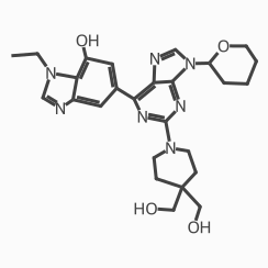 CCn1cnc2cc(-c3nc(N4CCC(CO)(CO)CC4)nc4c3ncn4C3CCCCO3)cc(O)c21